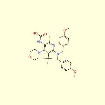 COc1ccc(CN(Cc2ccc(OC)cc2)c2nc(F)c(NC(=O)O)c(N3CCOCC3)c2C(C)(C)C)cc1